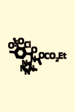 CCOC(=O)OC(C)N(C(=O)c1ccc(C)c(S(C)(=O)=O)c1Cl)c1nnnn1C